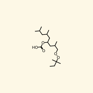 CCC(C)(C)OOCC(C)CC(CC(C)CC(C)C)OC(=O)O